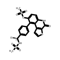 CC[C@H](NS(C)(=O)=O)c1ccc(-c2c(OS(C)(=O)=O)ccc3[nH]c(=O)c4sccc4c23)cc1